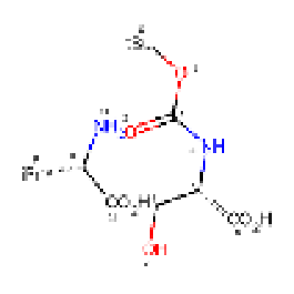 CC(C)(C)OC(=O)N[C@@H](CO)C(=O)O.CC(C)[C@H](N)C(=O)O